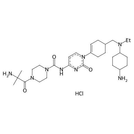 CCN(CC1CC=C(n2ccc(NC(=O)N3CCN(C(=O)C(C)(C)N)CC3)nc2=O)CC1)C1CCC(N)CC1.Cl